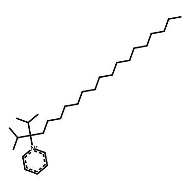 CCCCCCCCCCCCCCCCCC(C(C)C)(C(C)C)[n+]1ccccc1